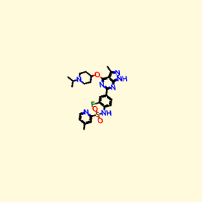 Cc1ccnc(S(=O)(=O)Nc2ccc(-c3nc(OC4CCN(C(C)C)CC4)c4c(C)n[nH]c4n3)cc2F)c1